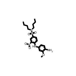 CCCCN(CCCC)S(=O)(=O)c1ccc(Nc2ccc(N)c(OC)c2)c([N+](=O)[O-])c1